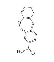 O=C(O)c1ccc2c(c1)=COC1=C(C=2)CCC=C1